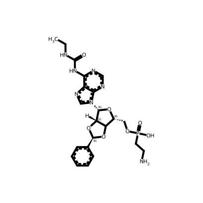 CCNC(=O)Nc1ncnc2c1ncn2[C@@H]1O[C@H](COP(=O)(O)CCN)C2O[C@@H](c3ccccc3)O[C@@H]21